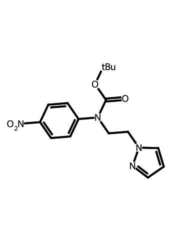 CC(C)(C)OC(=O)N(CCn1cccn1)c1ccc([N+](=O)[O-])cc1